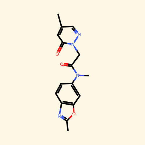 Cc1cnn(CC(=O)N(C)c2ccc3nc(C)oc3c2)c(=O)c1